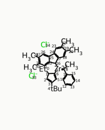 CCC1C=C(C(C)(C)C)C=[C]1/[Zr+2](=[C](/C)c1ccccc1)[CH]1c2cc(C)c(C)cc2-c2cc(C)c(C)cc21.[Cl-].[Cl-]